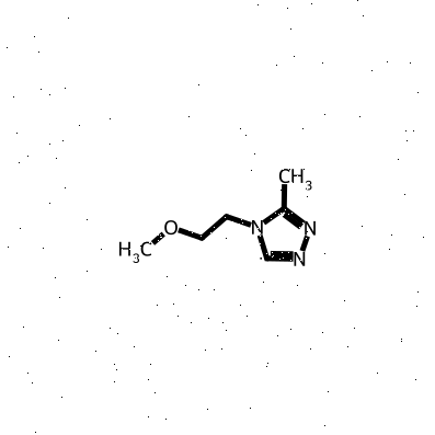 COCCn1[c]nnc1C